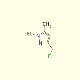 CCn1nc(CF)cc1C